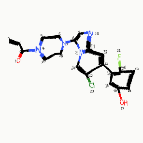 C=CC(=O)N1CCN(c2cnc3cc(-c4cc(O)ccc4F)c(Cl)cn23)CC1